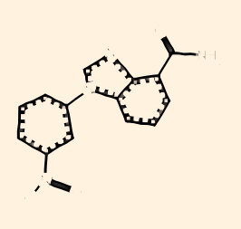 NC(=O)c1cccc2c1ncn2-c1cccc([N+](=O)[O-])c1